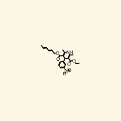 C/C=C/C=C/COC(=O)C1=C(C)NC(C)=C(C(=O)OCC)C1c1cccc([N+](=O)[O-])c1